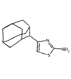 Nc1nc(C2C3CC4CC(C3)CC2C4)cs1